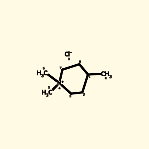 CC1CC[N+](C)(C)CC1.[Cl-]